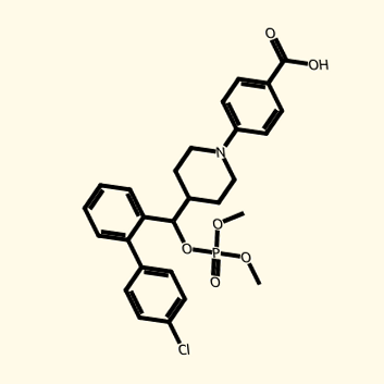 COP(=O)(OC)OC(c1ccccc1-c1ccc(Cl)cc1)C1CCN(c2ccc(C(=O)O)cc2)CC1